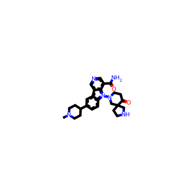 CN1CCC(c2ccc3c(c2)c2cncc(C(N)=O)c2n3N2CCC(=O)C3(CCNC3)C2)CC1